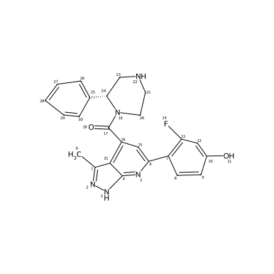 Cc1n[nH]c2nc(-c3ccc(O)cc3F)cc(C(=O)N3CCNC[C@H]3c3ccccc3)c12